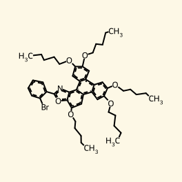 CCCCCOc1cc2c3cc(OCCCCC)c(OCCCCC)cc3c3c(cc(OCCCCC)c4oc(-c5ccccc5Br)nc43)c2cc1OCCCCC